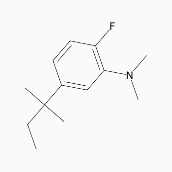 CCC(C)(C)c1ccc(F)c(N(C)C)c1